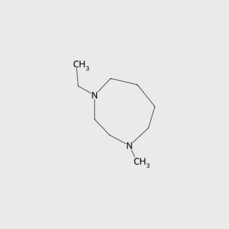 CCN1CCCCN(C)CC1